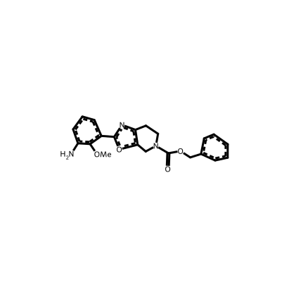 COc1c(N)cccc1-c1nc2c(o1)CN(C(=O)OCc1ccccc1)CC2